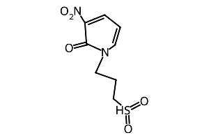 O=c1c([N+](=O)[O-])cccn1CCC[SH](=O)=O